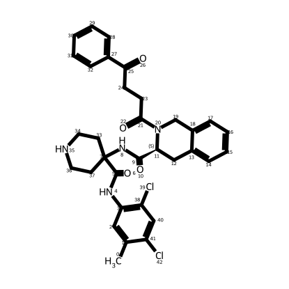 Cc1cc(NC(=O)C2(NC(=O)[C@@H]3Cc4ccccc4CN3C(=O)CCC(=O)c3ccccc3)CCNCC2)c(Cl)cc1Cl